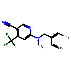 C=C/C(=C\C)CN(C)c1cc(C(F)(F)F)c(C#N)cn1